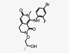 C[C@@H](O)CON1CCc2cc(=O)n(C)c(Nc3ccc(Br)cc3F)c2C1=O